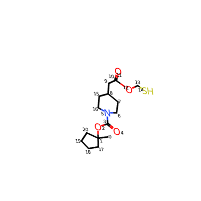 CC1(OC(=O)N2CCC(CC(=O)OCS)CC2)CCCC1